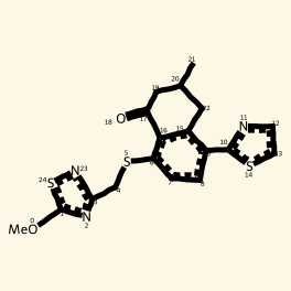 COc1nc(CSc2ccc(-c3nccs3)c3c2C(=O)CC(C)C3)ns1